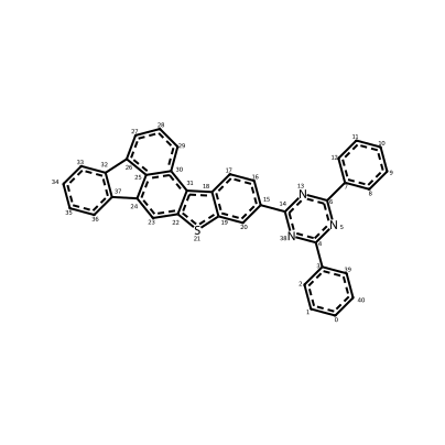 c1ccc(-c2nc(-c3ccccc3)nc(-c3ccc4c(c3)sc3cc5c6c(cccc6c34)-c3ccccc3-5)n2)cc1